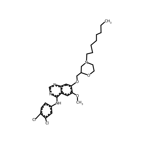 CCCCCCCCN1CCOC(COc2cc3ncnc(Nc4ccc(Cl)c(Cl)c4)c3cc2OC)C1